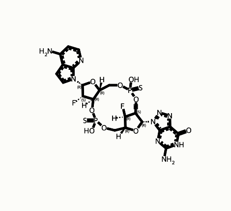 Nc1nc2c(nnn2[C@@H]2O[C@@H]3COP(O)(=S)O[C@H]4[C@H](F)[C@H](n5ccc6c(N)ccnc65)O[C@@H]4COP(O)(=S)O[C@@H]2[C@@H]3F)c(=O)[nH]1